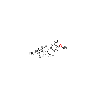 CCCCOc1cc2c(cc1CC)C1CC[C@@]3(C)C(CC[C@@H]3CC#N)C1CC2